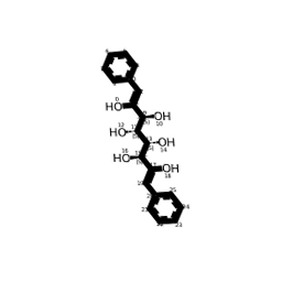 OC(=Cc1ccccc1)[C@@H](O)[C@@H](O)[C@H](O)[C@H](O)C(O)=Cc1ccccc1